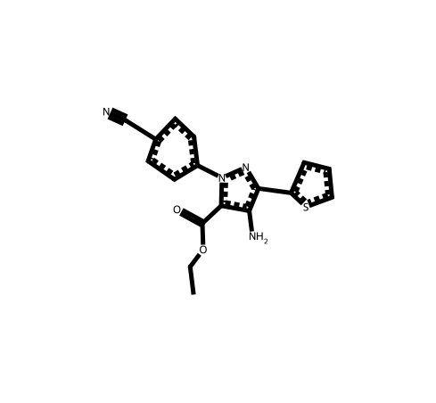 CCOC(=O)c1c(N)c(-c2cccs2)nn1-c1ccc(C#N)cc1